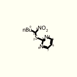 CCCCC(Sc1ncccn1)[N+](=O)[O-]